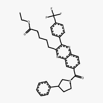 CCOC(=O)CCCCc1nc2cc(C(=O)N3CCC(c4ccccc4)C3)ccc2nc1-c1ccc(C(F)(F)F)cc1